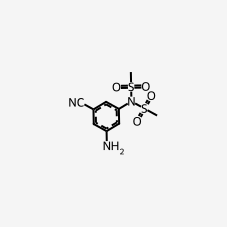 CS(=O)(=O)N(c1cc(N)cc(C#N)c1)S(C)(=O)=O